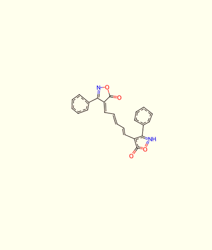 O=C1ON=C(c2ccccc2)C1=CC=CC=Cc1c(-c2ccccc2)[nH]oc1=O